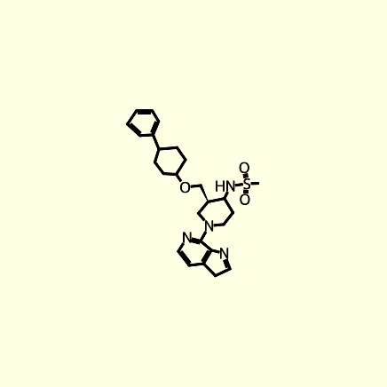 CS(=O)(=O)NC1CCN(c2nccc3c2N=CC3)C[C@H]1COC1CCC(c2ccccc2)CC1